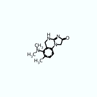 Cc1ccc2c(c1N(C)C)CNC1=NC(=O)CN12